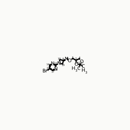 CC1(C)OCC(CON=C2CN(c3ncc(Br)cn3)C2)O1